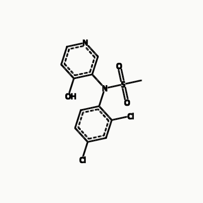 CS(=O)(=O)N(c1cnccc1O)c1ccc(Cl)cc1Cl